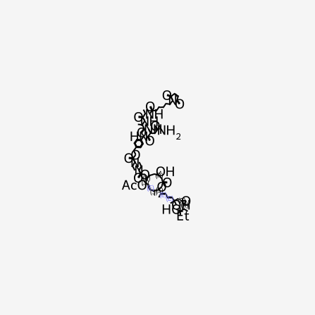 CCC(O)C(C)[C@H]1O[C@@H]1CC(C)(O)/C=C/C=C(\C)[C@H]1OC(=O)C[C@H](O)CC[C@@](C)(OC(=O)N2CCN(C(=O)OCc3ccc(NC(=O)C(CC(N)=O)NC(=O)C(C)NC(=O)C(C)NC(=O)CCCCCN4C(=O)C=CC4=O)cc3)CC2)[C@@H](OC(C)=O)/C=C/[C@@H]1C